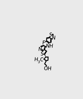 C[C@H]1C(CCO)CC[C@@H]1c1cc2c(Nc3cc4ncsc4cc3F)ccnc2s1